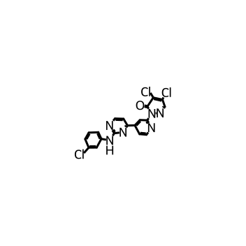 O=c1c(Cl)c(Cl)cnn1-c1cc(-c2ccnc(Nc3cccc(Cl)c3)n2)ccn1